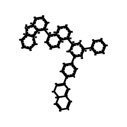 C1=CC2=CC(c3ccc(-c4nc(-c5ccccc5)nc(-c5cccc6c(-c7cccc8oc9ccccc9c78)cccc56)n4)cc3)=CCC2C=C1